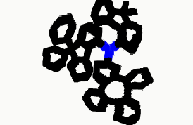 CC1(C)c2ccccc2-c2c(N(c3ccc4c(c3)-c3ccccc3-c3ccccc3-c3ccccc3-4)c3cccc4c3-c3ccccc3C4(c3ccccc3)c3ccccc3)cccc21